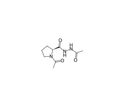 CC(=O)NNC(=O)[C@@H]1CCCN1C(C)=O